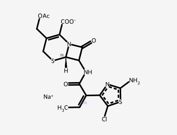 C/C=C(\C(=O)NC1C(=O)N2C(C(=O)[O-])=C(COC(C)=O)CS[C@@H]12)c1nc(N)sc1Cl.[Na+]